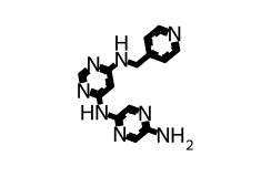 Nc1cnc(Nc2cc(NCc3ccncc3)ncn2)cn1